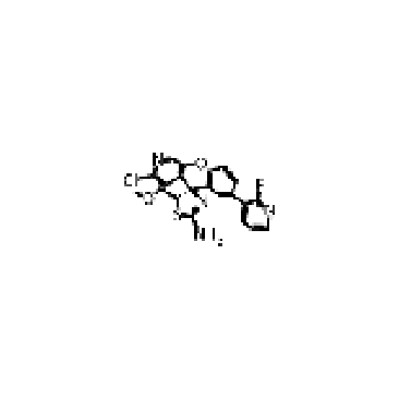 COCC1SC(N)=N[C@@]12c1cc(-c3cccnc3F)ccc1Oc1cnc(Cl)cc12